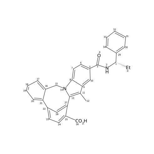 CC[C@H](NC(=O)c1ccc2c(c1)c(C)c1n2Cc2ccccc2-c2ccc(C(=O)O)c-1c2)c1ccccc1